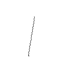 C=CCCCCCCCCCCCCCCCCCCCCCCCCCCCC